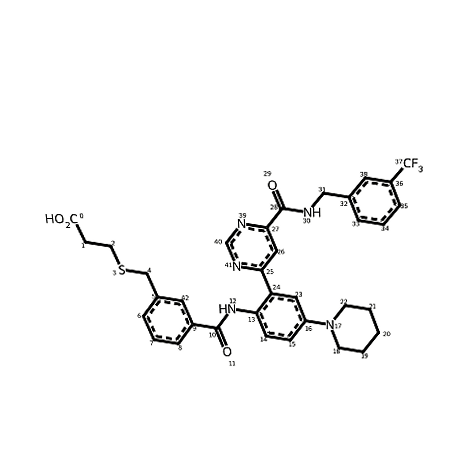 O=C(O)CCSCc1cccc(C(=O)Nc2ccc(N3CCCCC3)cc2-c2cc(C(=O)NCc3cccc(C(F)(F)F)c3)ncn2)c1